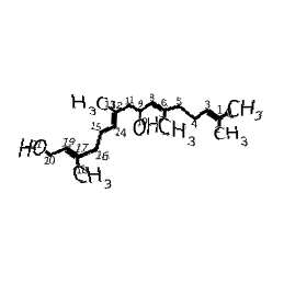 CC(C)=CCC/C(C)=C/C(O)CC(C)=CCCC(C)=CCO